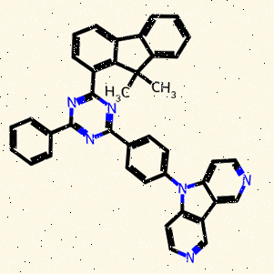 CC1(C)c2ccccc2-c2cccc(-c3nc(-c4ccccc4)nc(-c4ccc(-n5c6ccncc6c6cnccc65)cc4)n3)c21